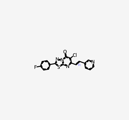 O=c1c(Cl)c(/C=C/c2cccnc2)nc2sc(-c3ccc(F)cc3)nn12